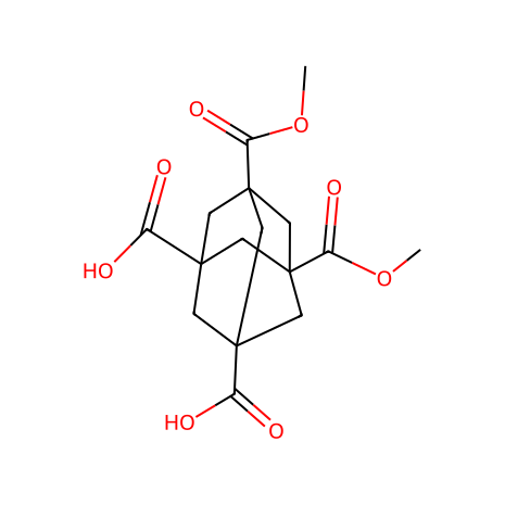 COC(=O)C12CC3(C(=O)O)CC(C(=O)O)(C1)CC(C(=O)OC)(C3)C2